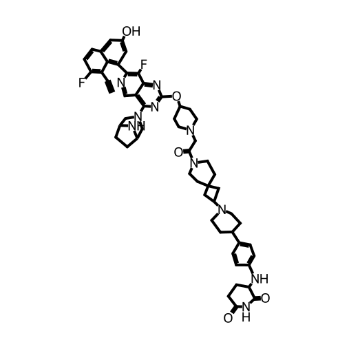 C#Cc1c(F)ccc2cc(O)cc(-c3ncc4c(N5CC6CCC(C5)N6)nc(OC5CCN(CC(=O)N6CCC7(CC6)CC(N6CCC(c8ccc(NC9CCC(=O)NC9=O)cc8)CC6)C7)CC5)nc4c3F)c12